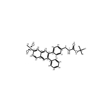 CC(C)(C)OC(=O)NCc1ccc(-c2nc3nc(S(C)(=O)=O)ncc3cc2-c2ccccc2)cc1